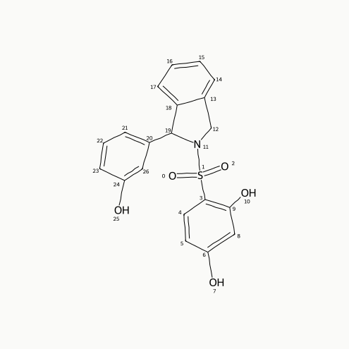 O=S(=O)(c1ccc(O)cc1O)N1Cc2ccccc2C1c1cccc(O)c1